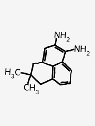 CC1(C)Cc2cccc3c(N)c(N)cc(c23)C1